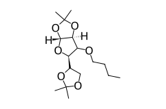 CCCCOC1[C@@H](C2COC(C)(C)O2)O[C@@H]2OC(C)(C)O[C@@H]12